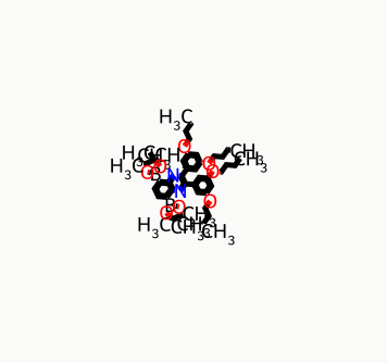 CCCCOc1cc(OCCCC)cc(-c2nc3c(B4OC(C)(C)C(C)(C)O4)ccc(B4OC(C)(C)C(C)(C)O4)c3nc2-c2cc(OCCCC)cc(OCCCC)c2)c1